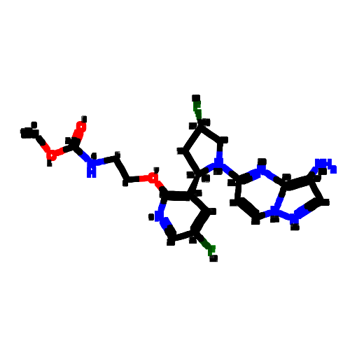 CC(C)(C)OC(=O)NCCOc1ncc(F)cc1[C@H]1C[C@H](F)CN1c1ccn2ncc(N)c2n1